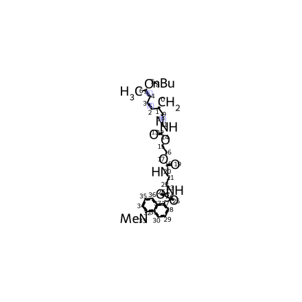 C=C(/C=C\C=C(/C)OCCCC)/C=N/NC(=O)OCCOC(=O)NCCNS(=O)(=O)c1cccc2c(NC)cccc12